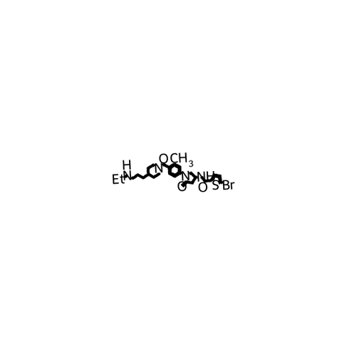 CCNCCCC1CCN(C(=O)c2ccc(N3CC(NC(=O)c4ccc(Br)s4)CC3=O)cc2C)CC1